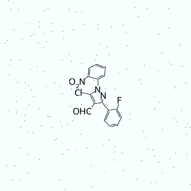 O=Cc1c(-c2ccccc2F)nn(-c2ccccc2[N+](=O)[O-])c1Cl